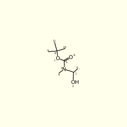 [CH2]C(O)N(C)C(=O)OC(C)(C)C